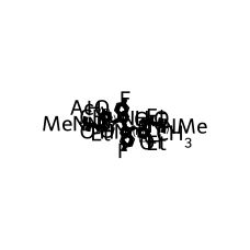 CCO[C@H]1C[C@@H](Cc2c(-c3[nH]c4cc(F)ccc4c3C[C@@H]3C[C@H](OC(C)=O)CN3C(=O)[C@H](CC)NC(=O)[C@H](C)NC)[nH]c3cc(F)ccc23)N(C(=O)C(CC)NC(=O)[C@H](C)NC)C1